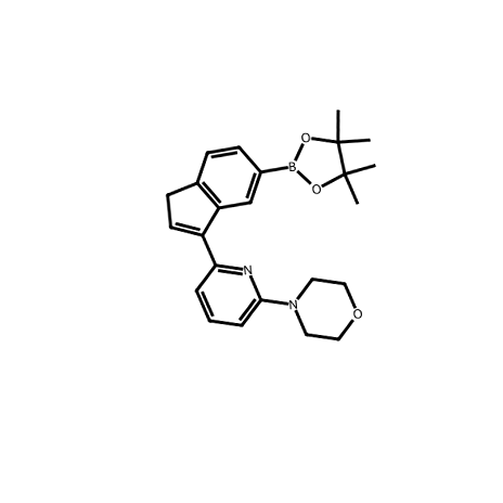 CC1(C)OB(c2ccc3c(c2)C(c2cccc(N4CCOCC4)n2)=CC3)OC1(C)C